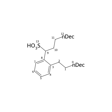 CCCCCCCCCCCCc1ccccc1C(CCCCCCCCCCCC)S(=O)(=O)O